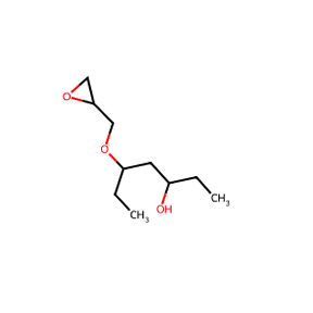 CCC(O)CC(CC)OCC1CO1